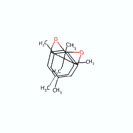 CC1CC(C)C2OC2(C(C)(C)C23CC(C)CC(C)C2O3)C1